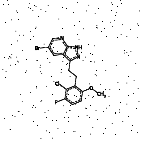 COc1ccc(F)c(Cl)c1CCc1n[nH]c2ncc(Br)cc12